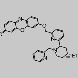 CC[C@@H]1CCN(Cc2ccccn2)C(c2cccc(COc3ccc4nc5ccc(=O)cc-5oc4c3)n2)C1